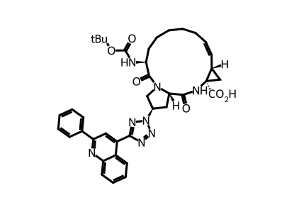 CC(C)(C)OC(=O)N[C@H]1CCCCC/C=C\[C@@H]2C[C@@]2(C(=O)O)NC(=O)[C@@H]2C[C@@H](n3nnc(-c4cc(-c5ccccc5)nc5ccccc45)n3)CN2C1=O